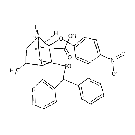 CC1C[C@@H]2C(Oc3ccc([N+](=O)[O-])cc3)CC1N(C(=O)C(c1ccccc1)c1ccccc1)[C@@H]2C(=O)O